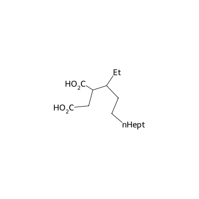 CCCCCCCCCC(CC)C(CC(=O)O)C(=O)O